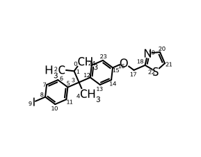 CC(C)C(C)(c1ccc(I)cc1)c1ccc(OCc2nccs2)cc1